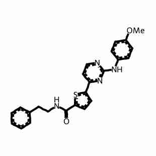 COc1ccc(Nc2nccc(-c3ccc(C(=O)NCCc4ccccc4)s3)n2)cc1